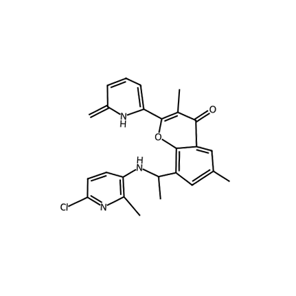 C=C1C=CC=C(c2oc3c(C(C)Nc4ccc(Cl)nc4C)cc(C)cc3c(=O)c2C)N1